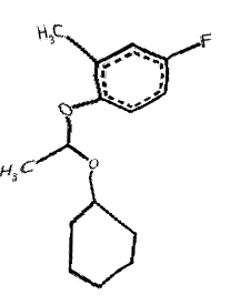 Cc1cc(F)ccc1OC(C)OC1CCCCC1